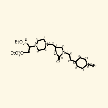 CCOC(=O)CC(C(=O)OCC)N1CCN(CC2CN(CCC3CCN(C(C)C)CC3)C(=O)O2)CC1